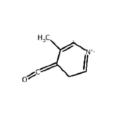 CC1=[C][N+]=CCC1=C=O